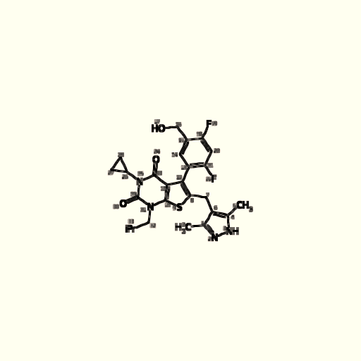 Cc1n[nH]c(C)c1Cc1sc2c(c1-c1cc(CO)c(F)cc1F)c(=O)n(C1CC1)c(=O)n2CC(C)C